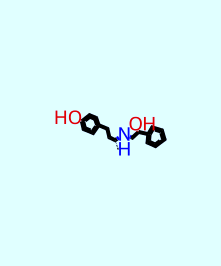 C[C@H](CCc1ccc(O)cc1)NCC(O)c1ccccc1